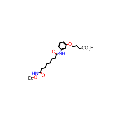 CCONC(=O)CCCCCCC(=O)Nc1cccc(OCCCC(=O)O)c1